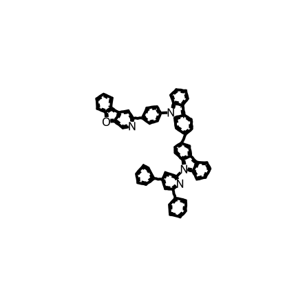 c1ccc(-c2cc(-c3ccccc3)nc(-n3c4ccccc4c4cc(-c5ccc6c7ccccc7n(-c7ccc(-c8cc9c(cn8)oc8ccccc89)cc7)c6c5)ccc43)c2)cc1